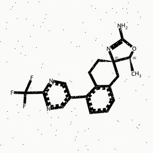 C[C@@H]1OC(N)=N[C@]12CCc1c(cccc1-c1cnc(C(F)(F)F)nc1)C2